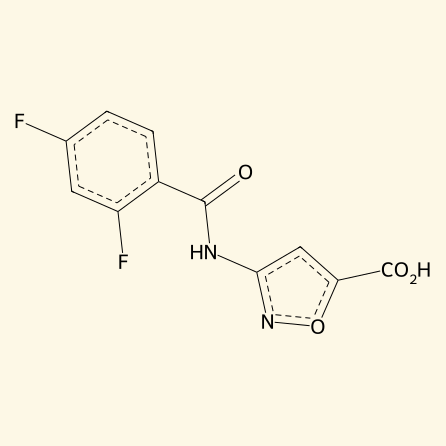 O=C(O)c1cc(NC(=O)c2ccc(F)cc2F)no1